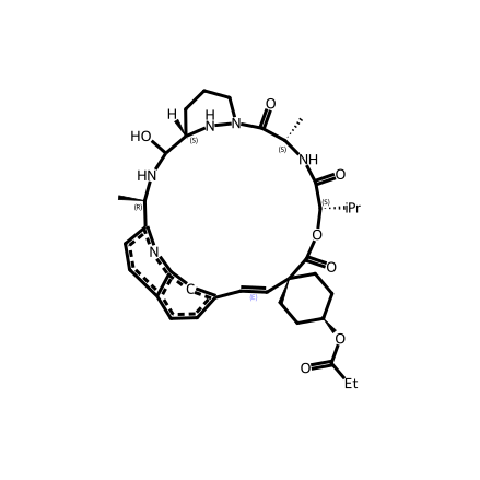 CCC(=O)O[C@H]1CC[C@]2(/C=C/c3ccc4ccc(nc4c3)[C@@H](C)NC(O)[C@@H]3CCCN(N3)C(=O)[C@H](C)NC(=O)[C@H](C(C)C)OC2=O)CC1